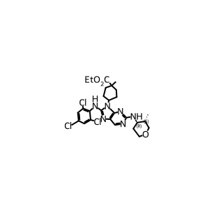 CCOC(=O)C1(C)CCC(n2c(Nc3c(Cl)cc(Cl)cc3Cl)nc3cnc(N[C@@H]4CCOC[C@H]4C)nc32)CC1